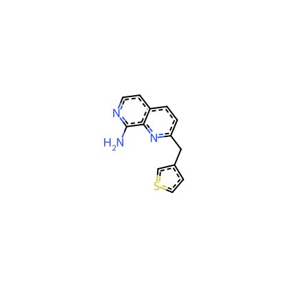 Nc1nccc2ccc(Cc3ccsc3)nc12